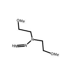 COCCN(CCOC)N=N